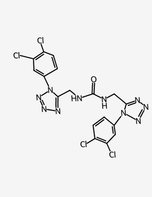 O=C(NCc1nnnn1-c1ccc(Cl)c(Cl)c1)NCc1nnnn1-c1ccc(Cl)c(Cl)c1